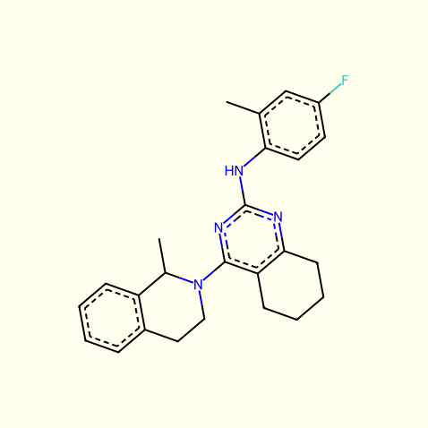 Cc1cc(F)ccc1Nc1nc2c(c(N3CCc4ccccc4C3C)n1)CCCC2